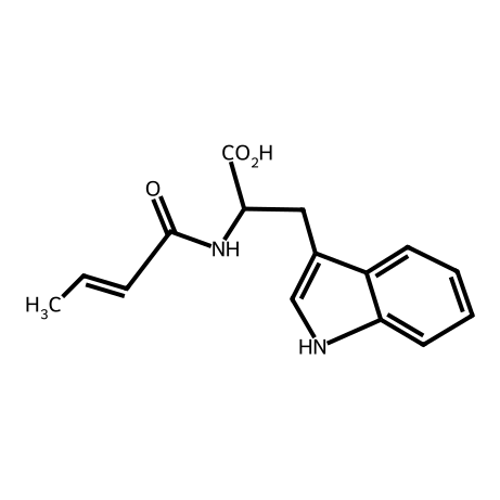 C/C=C/C(=O)NC(Cc1c[nH]c2ccccc12)C(=O)O